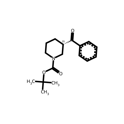 CC(C)(C)OC(=O)N1CCC[C@H](C(=O)c2ccccc2)C1